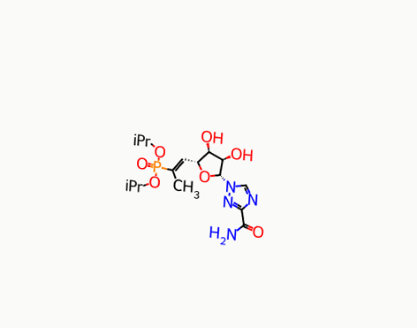 C/C(=C\[C@H]1O[C@@H](n2cnc(C(N)=O)n2)[C@H](O)[C@@H]1O)P(=O)(OC(C)C)OC(C)C